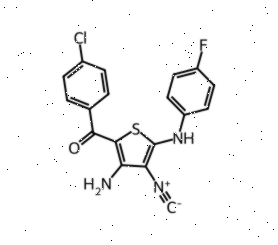 [C-]#[N+]c1c(Nc2ccc(F)cc2)sc(C(=O)c2ccc(Cl)cc2)c1N